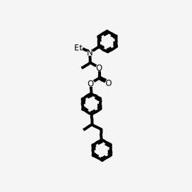 CCN(c1ccccc1)C(C)OC(=O)Oc1ccc(C(C)Cc2ccccc2)cc1